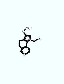 O=C(O)Oc1cn(CC(F)(F)F)c2c1CCc1cnccc1-2